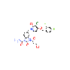 NC(=O)n1c(=O)n(C(=O)CCO)c2cc(Cn3ccc(OCc4ccc(F)cc4F)c(Cl)c3=O)ccc21